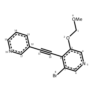 COCOc1cncc(Br)c1C#Cc1cccnc1